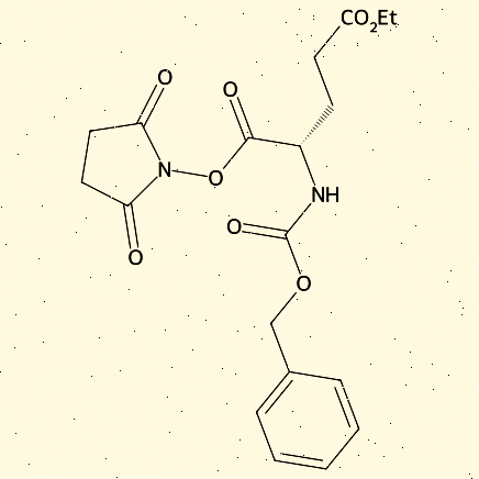 CCOC(=O)CC[C@H](NC(=O)OCc1ccccc1)C(=O)ON1C(=O)CCC1=O